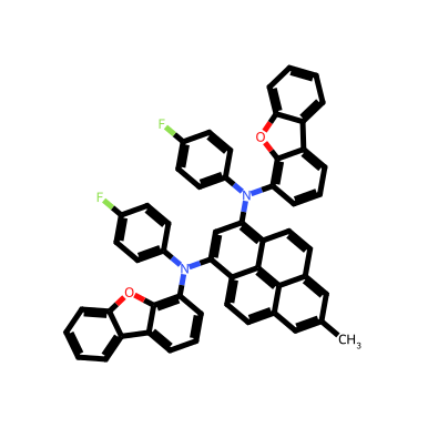 Cc1cc2ccc3c(N(c4ccc(F)cc4)c4cccc5c4oc4ccccc45)cc(N(c4ccc(F)cc4)c4cccc5c4oc4ccccc45)c4ccc(c1)c2c34